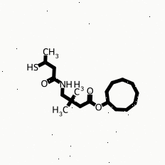 CC(S)CC(=O)NCC(C)(C)CC(=O)OC1CCCCCCCC1